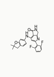 CC1(C)Cc2ccc(Nc3cc(-c4c(F)cccc4F)nc4c3C(=O)NC4)cc2O1